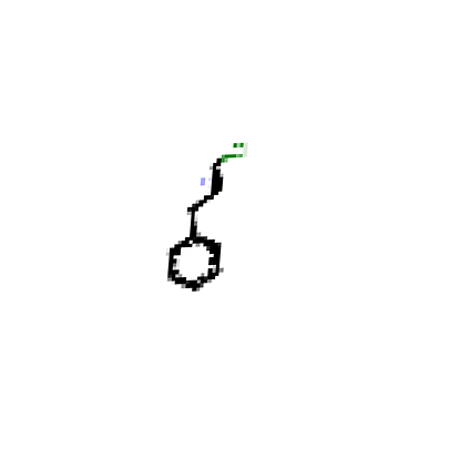 Cl/C=C/Cc1ccccc1